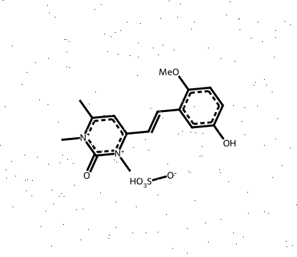 COc1ccc(O)cc1C=Cc1cc(C)n(C)c(=O)[n+]1C.O=S(=O)([O-])O